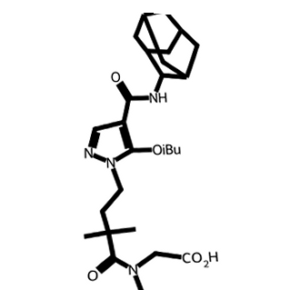 CC(C)COc1c(C(=O)NC2C3CC4CC(C3)CC2C4)cnn1CCC(C)(C)C(=O)N(C)CC(=O)O